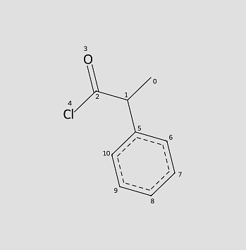 CC(C(=O)Cl)c1ccccc1